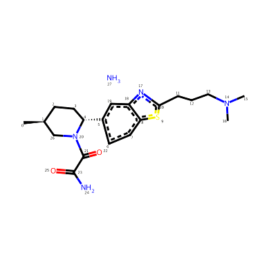 C[C@H]1CC[C@H](c2ccc3sc(CCCN(C)C)nc3c2)N(C(=O)C(N)=O)C1.N